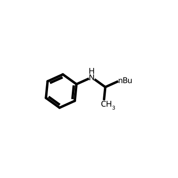 CCCCC(C)Nc1ccccc1